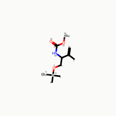 C=C(C)C(CO[Si](C)(C)C(C)(C)C)NC(=O)OC(C)(C)C